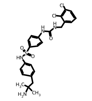 CC(C)(N)Cc1ccc(NS(=O)(=O)c2ccc(NC(=O)NCc3cccc(Cl)c3Cl)cc2)cc1